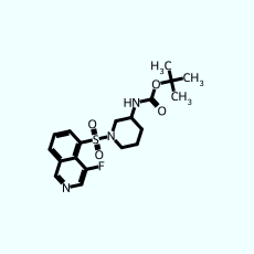 CC(C)(C)OC(=O)NC1CCCN(S(=O)(=O)c2cccc3cncc(F)c23)C1